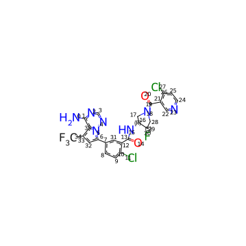 Nc1ncnn2c(-c3ccc(Cl)c(C(=O)N[C@@H]4CN(C(=O)c5cnccc5Cl)C[C@@H]4F)c3)cc(C(F)(F)F)c12